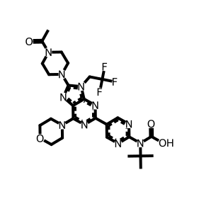 CC(=O)N1CCN(c2nc3c(N4CCOCC4)nc(-c4cnc(N(C(=O)O)C(C)(C)C)nc4)nc3n2CC(F)(F)F)CC1